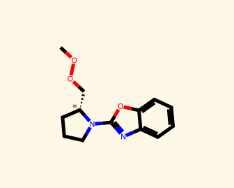 COOC[C@H]1CCCN1c1nc2ccccc2o1